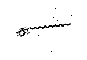 CCCCCCCCCCCCCCCCCC(=O)OC1(C)CCC[Si](C)(C)O1